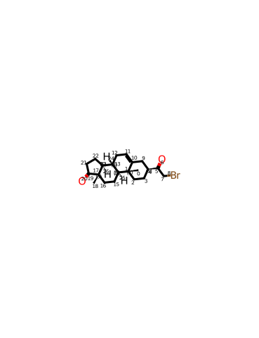 C[C@]12CC[C@H](C(=O)CBr)CC1=CC[C@@H]1[C@@H]2CC[C@]2(C)C(=O)CC[C@@H]12